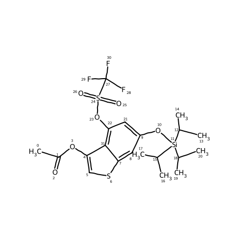 CC(=O)Oc1csc2cc(O[Si](C(C)C)(C(C)C)C(C)C)cc(OS(=O)(=O)C(F)(F)F)c12